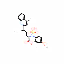 COC(=O)C(CCC(C)c1cc(C)c2ccccc2n1)N(c1ccc(OC)cc1)S(=O)(=O)O